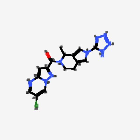 CC1c2cn(-c3nnn[nH]3)cc2CCN1C(=O)c1cc2ncc(Cl)cn2n1